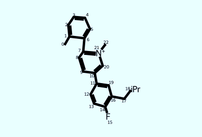 Cc1ccccc1-c1ccc(-c2ccc(F)c(CC(C)C)c2)c[n+]1C